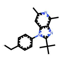 [CH2]Cc1ccc(-n2c(C(C)(C)C)nc3c(C)nc(C)cc32)cc1